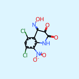 O=C1Nc2c(c(Cl)cc(Cl)c2[N+](=O)[O-])C(=NO)C1=O